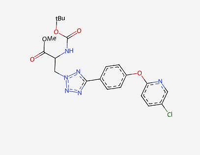 COC(=O)C(Cn1nnc(-c2ccc(Oc3ccc(Cl)cn3)cc2)n1)NC(=O)OC(C)(C)C